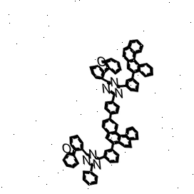 c1ccc(-c2nc(-c3cccc(-c4cc5ccc(-c6ccc(-c7nc(-c8cccc(-c9cc%10ccc%11ccccc%11c%10c%10ccccc9%10)c8)nc(-c8cccc9oc%10ccccc%10c89)n7)cc6)cc5c5c4ccc4ccccc45)c3)nc(-c3cccc4oc5ccccc5c34)n2)cc1